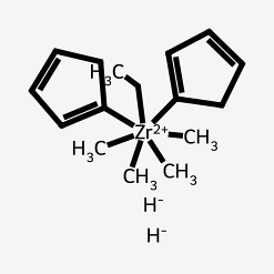 C[CH2][Zr+2]([CH3])([CH3])([CH3])([CH3])([C]1=CC=CC1)[C]1=CC=CC1.[H-].[H-]